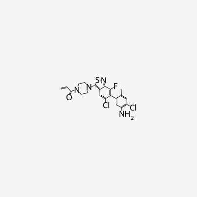 C=CC(=O)N1CCN(c2snc3c(F)c(-c4cc(N)c(Cl)cc4C)c(Cl)cc23)CC1